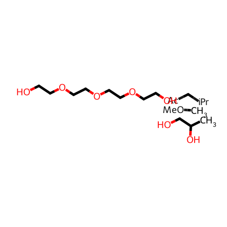 CC(=O)CC(C)C.CC(O)CO.COC.OCCOCCOCCOCCO